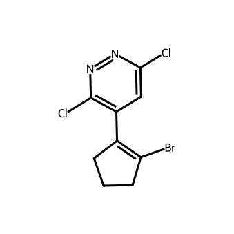 Clc1cc(C2=C(Br)CCC2)c(Cl)nn1